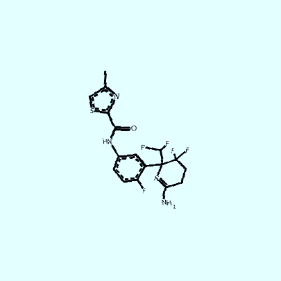 Cc1csc(C(=O)Nc2ccc(F)c(C3(C(F)F)N=C(N)CCC3(F)F)c2)n1